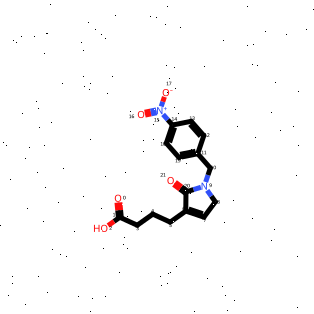 O=C(O)CCCC1=CCN(Cc2ccc([N+](=O)[O-])cc2)C1=O